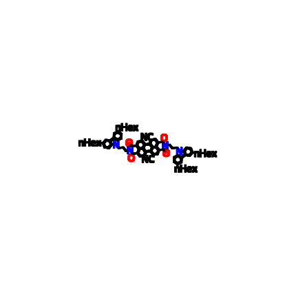 [C-]#[N+]c1cc2c3c(ccc4c5c(C#N)cc6c7c(ccc(c1c34)c75)C(=O)N(CCCn1c3ccc(CCCCCC)cc3c3cc(CCCCCC)ccc31)C6=O)C(=O)N(CCCn1c3ccc(CCCCCC)cc3c3cc(CCCCCC)ccc31)C2=O